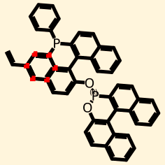 C=Cc1ccc2c(-c3c(P(c4ccccc4)c4ccccc4)ccc4ccccc34)c(O[P@@]3Oc4ccc5ccccc5c4-c4c3ccc3ccccc43)ccc2c1